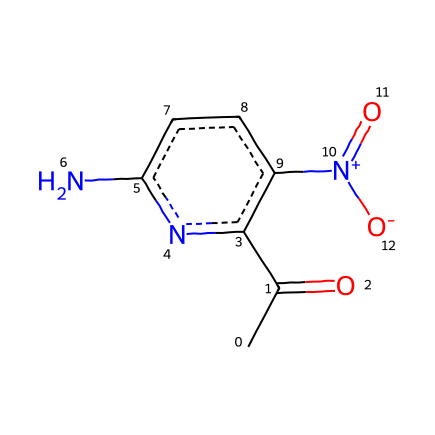 CC(=O)c1nc(N)ccc1[N+](=O)[O-]